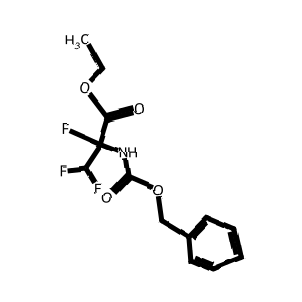 CCOC(=O)C(F)(NC(=O)OCc1ccccc1)C(F)F